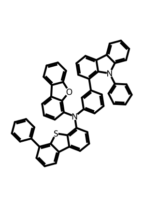 c1ccc(-c2cccc3c2sc2c(N(c4cccc(-c5cccc6c7ccccc7n(-c7ccccc7)c56)c4)c4cccc5c4oc4ccccc45)cccc23)cc1